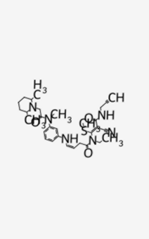 C#CCNC(=O)/C(C#N)=C(\SC)N(CC)C(=O)C/C=C\Nc1cccc(N(C)C(=O)CN2C(C)CCCC2C)c1